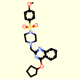 COc1ccc(S(=O)(=O)N2CCN(Cc3nc(OC4CCCC4)c4ccccc4n3)CC2)cc1